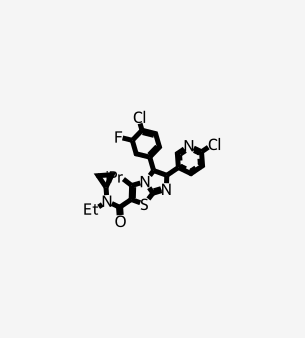 CCN(C(=O)C1=C(C(C)C)N2C(=NC(c3ccc(Cl)nc3)C2C2=CC=C(Cl)C(F)C2)S1)C1CC1